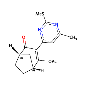 CSc1nc(C)cc(C2=C(OC(C)=O)[C@@H]3CC[C@@H](C3)C2=O)n1